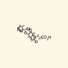 CC[C@H](Oc1cc2sc(=O)n(CCC(=O)O)c2cc1Cl)c1cccnn1